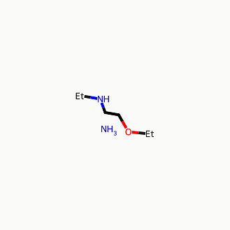 CCNCCOCC.N